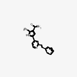 CC(C)c1[nH]c(-c2ccnc(/C=C/c3ccccc3)c2)cc1C(N)=O